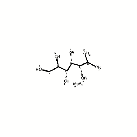 OC[C@@H](O)[C@@H](O)[C@H](O)[C@@H](O)[CH](O)[AlH2].[MgH2]